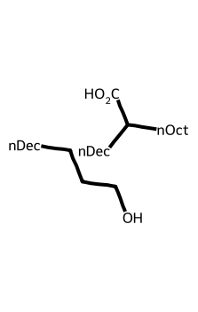 CCCCCCCCCCC(CCCCCCCC)C(=O)O.CCCCCCCCCCCCCO